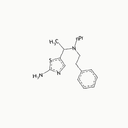 CCCN(CCc1ccccc1)C(C)c1cnc(N)s1